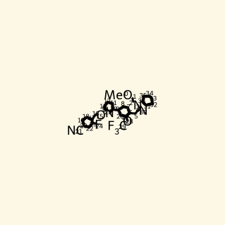 COCCn1c(Cc2ccc(-c3cccc(OCc4ccc(C#N)cc4F)n3)cc2OC(F)(F)F)nc2ccccc21